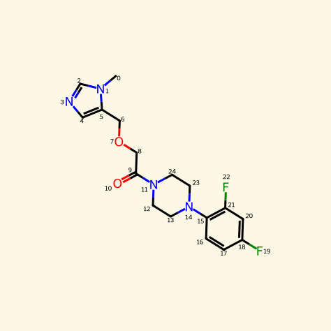 Cn1cncc1COCC(=O)N1CCN(c2ccc(F)cc2F)CC1